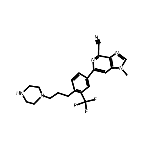 Cn1cnc2c(C#N)nc(-c3ccc(CCCN4CCNCC4)c(C(F)(F)F)c3)cc21